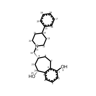 Oc1cccc2c1CC[C@@H](CN1CCC(c3ccccc3)CC1)C[C@H]2O